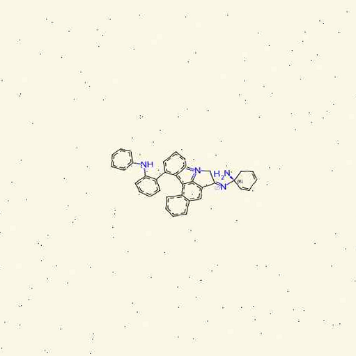 N[C@]1(/N=C2\Cn3c4cccc(-c5ccccc5Nc5ccccc5)c4c4c5ccccc5cc2c43)C=CC=CC1